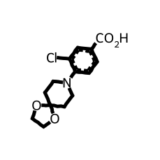 O=C(O)c1ccc(N2CCC3(CC2)OCCO3)c(Cl)c1